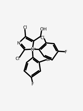 OCC1=C(Cl)N=C(Cl)[N+]1(c1ccc(F)cc1Cl)c1ccc(F)cc1Br